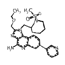 CCOCc1nc2c(N)nc3cc(-c4cccnc4)ccc3c2n1CC1CCCCN1S(C)(=O)=O